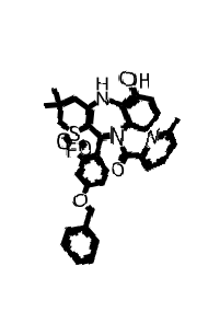 Cc1cccc(C(=O)N2C3CC=CC(O)=C3NC3=C(C2c2ccc(OCc4ccccc4)cc2F)S(=O)(=O)CC(C)(C)C3)n1